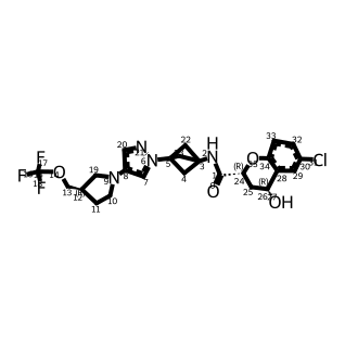 O=C(NC12CC(n3cc(N4CC[C@@H](COC(F)(F)F)C4)cn3)(C1)C2)[C@H]1C[C@@H](O)c2cc(Cl)ccc2O1